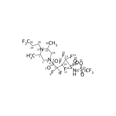 CC1CN(S(=O)(=O)C(F)(F)C(F)(F)C(F)(F)S(=O)(=O)NS(=O)(=O)C(F)(F)F)CC(C)N1CCC(F)(F)F